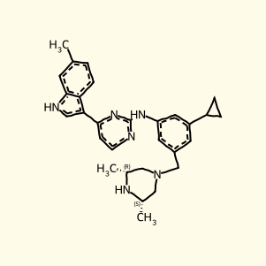 Cc1ccc2c(-c3ccnc(Nc4cc(CN5C[C@@H](C)N[C@@H](C)C5)cc(C5CC5)c4)n3)c[nH]c2c1